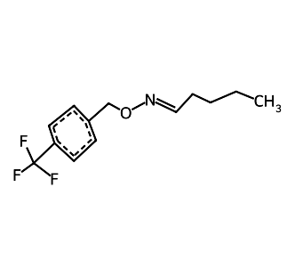 CCCCC=NOCc1ccc(C(F)(F)F)cc1